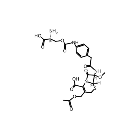 CO[C@@]1(NC(=O)Cc2ccc(NC(=O)OC[C@@H](N)C(=O)O)cc2)C(=O)N2C(C(=O)O)=C(COC(C)=O)CS[C@H]21